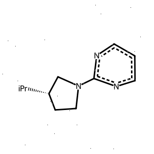 CC(C)[C@H]1CCN(c2ncccn2)C1